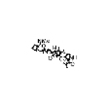 CNC[C@@H]1CCCN1CC(=O)N[C@H](C)[C@H]1C(=O)N2C(C(=O)O)=C(S[C@@H]3CN[C@H](C(=O)N(C)C)C3)[C@H](C)[C@H]12